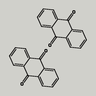 O=C1c2ccccc2C(=O)c2ccccc21.O=C1c2ccccc2C(=O)c2ccccc21